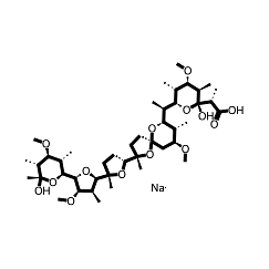 CO[C@@H]1[C@H](C)[C@H]([C@]2(C)CC[C@H]([C@]3(C)CC[C@]4(C[C@H](OC)[C@@H](C)[C@@H]([C@@H](C)[C@H]5O[C@@](O)([C@H](C)C(=O)O)[C@H](C)[C@@H](OC)[C@H]5C)O4)O3)O2)O[C@H]1[C@H]1O[C@](C)(O)[C@H](C)[C@@H](OC)[C@@H]1C.[Na]